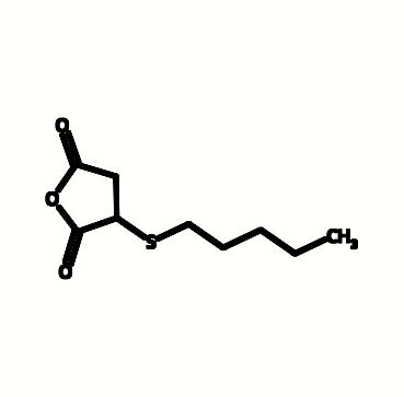 CCCCCSC1CC(=O)OC1=O